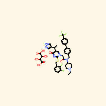 CCN1CCC(N(Cc2ccc(-c3ccc(C(F)(F)F)cc3)cc2)C(=O)Cn2cc(C(C)c3cn[nH]c3)c(=O)nc2SCc2cccc(F)c2F)CC1.O=C(O)C(O)C(O)C(=O)O